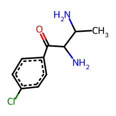 CC(N)C(N)C(=O)c1ccc(Cl)cc1